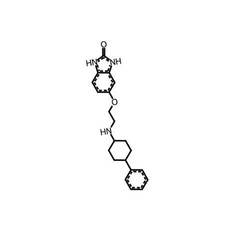 O=c1[nH]c2ccc(OCCNC3CCC(c4ccccc4)CC3)cc2[nH]1